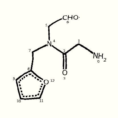 NCC(=O)N(C[C]=O)Cc1ccco1